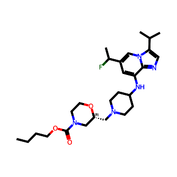 CCCCOC(=O)N1CCO[C@H](CN2CCC(Nc3cc(C(C)F)cn4c(C(C)C)cnc34)CC2)C1